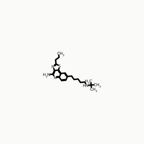 CCCc1nc2c(N)nc3ccc(CCCCCNC(C)(C)C)cc3c2s1